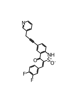 O=C1/C(=C\c2ccc(F)c(F)c2)[S+]([O-])Nc2ccc(C#CCc3cccnc3)cc21